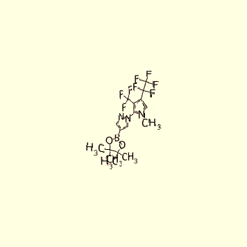 Cn1cc(C(F)(F)C(F)(F)F)c(C(F)(F)F)c1-n1cc(B2OC(C)(C)C(C)(C)O2)cn1